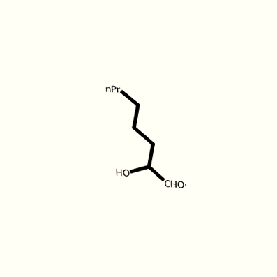 CCCCCCC(O)[C]=O